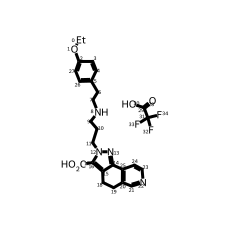 CCOc1ccc(CCNCCCn2nc3c(c2C(=O)O)CCc2cnccc2-3)cc1.O=C(O)C(F)(F)F